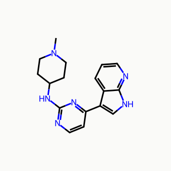 CN1CCC(Nc2nccc(-c3c[nH]c4ncccc34)n2)CC1